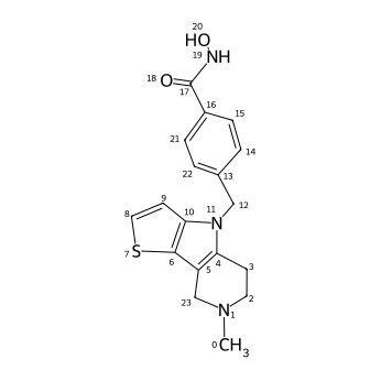 CN1CCc2c(c3sccc3n2Cc2ccc(C(=O)NO)cc2)C1